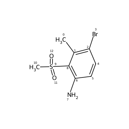 Cc1c(Br)ccc(N)c1S(C)(=O)=O